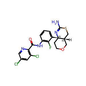 NC1=N[C@@]2(c3cccc(NC(=O)c4ncc(Cl)cc4Cl)c3F)CCOC[C@H]2CS1